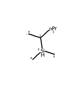 [CH2]C(CCC)[SiH](C)C